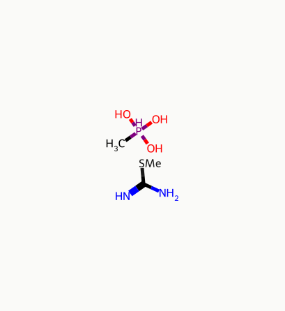 CSC(=N)N.C[PH](O)(O)O